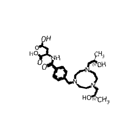 C[C@H](O)CN1CCN(Cc2ccc(C(=O)NC(CC(=O)O)C(=O)O)cc2)CCN(C[C@H](C)O)CC1